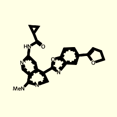 CNc1ncc(-c2nc3cc(C4=CCCO4)ccc3o2)c2cc(NC(=O)C3CC3)ncc12